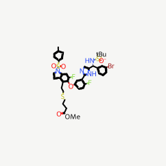 COC(=O)CCCSCCc1c(Oc2ccc(F)c(-c3ncc([C@H](N[S@+]([O-])C(C)(C)C)c4cccc(Br)c4)[nH]3)c2)c(F)cc2c1ccn2S(=O)(=O)c1ccc(C)cc1